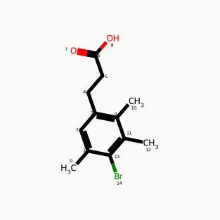 Cc1cc(CCC(=O)O)c(C)c(C)c1Br